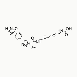 CC(C)C(C(=O)NCCOCCOCCNC(=O)O)n1cc(-c2ccc(S(N)(=O)=O)cc2)nn1